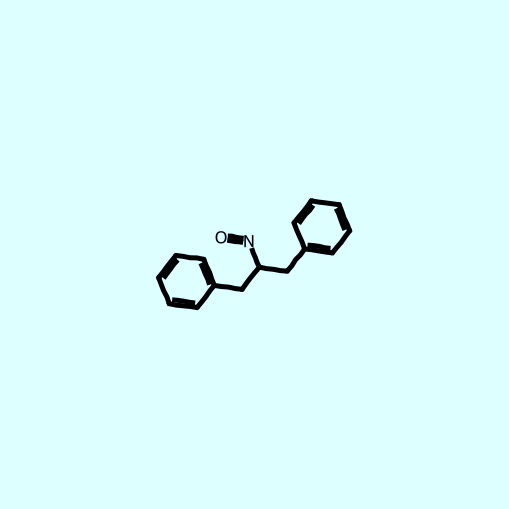 O=NC(Cc1ccccc1)Cc1ccccc1